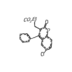 CCOC(=O)Cc1c(-c2ccccc2)c2cc(Cl)ccc2oc1=O